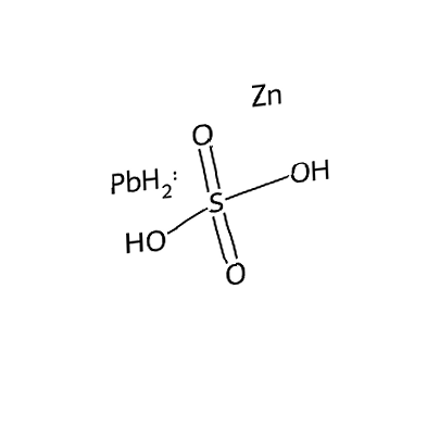 O=S(=O)(O)O.[PbH2].[Zn]